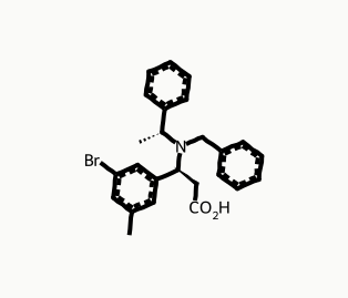 Cc1cc(Br)cc([C@H](CC(=O)O)N(Cc2ccccc2)[C@H](C)c2ccccc2)c1